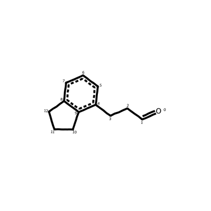 O=CCCc1cccc2c1CCC2